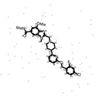 CNC(=O)c1cc(OC)c2nc(CN3CCC(c4cccc(OCc5ccc(Cl)cc5F)n4)CC3)n(C)c2c1